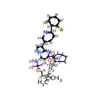 CC(C)(C)OC(=O)N1C2CCC1CC(c1cc(N(I)C(I)(I)OCC[Si](C)(C)C)n3ncc(-c4ccc(-c5c(F)cccc5F)nc4)c3n1)C2